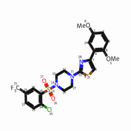 COc1ccc(OC)c(-c2csc(N3CCN(S(=O)(=O)c4cc(C(F)(F)F)ccc4Cl)CC3)n2)c1